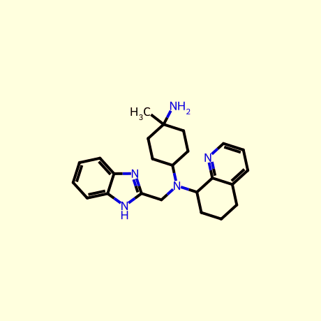 CC1(N)CCC(N(Cc2nc3ccccc3[nH]2)C2CCCc3cccnc32)CC1